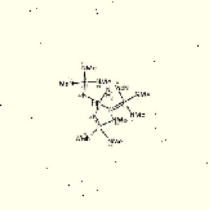 CNP(=N[PH](N)(N=P(NC)(NC)NC)N=P(NC)(NC)NC)(NC)NC